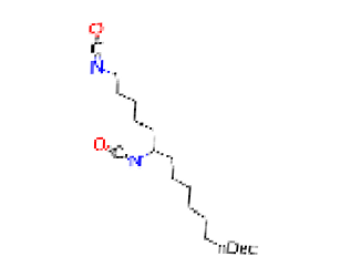 CCCCCCCCCCCCCCCCC(CCCCCN=C=O)N=C=O